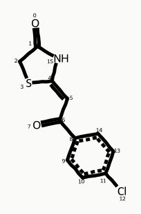 O=C1CSC(=CC(=O)c2ccc(Cl)cc2)N1